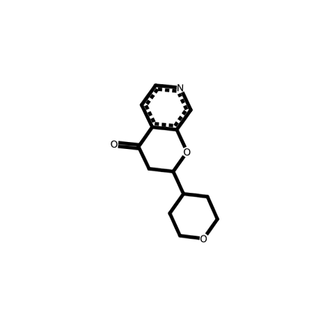 O=C1CC(C2CCOCC2)Oc2cnccc21